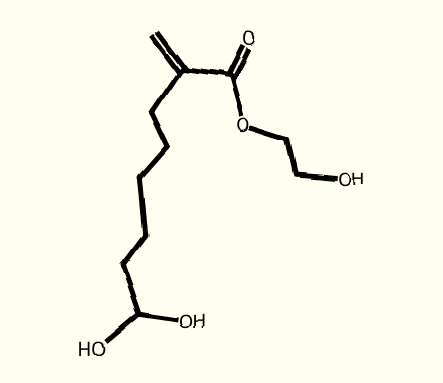 C=C(CCCCCC(O)O)C(=O)OCCO